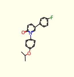 CC(C)Oc1ccc(-n2cc(-c3ccc(F)cc3)ccc2=O)cc1